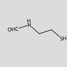 O=CNCCS